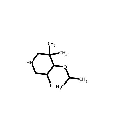 CC(C)OC1C(F)CNCC1(C)C